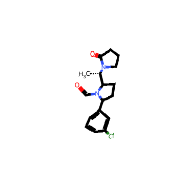 C[C@@H](C1CCC(c2cccc(Cl)c2)N1C=O)N1CCCC1=O